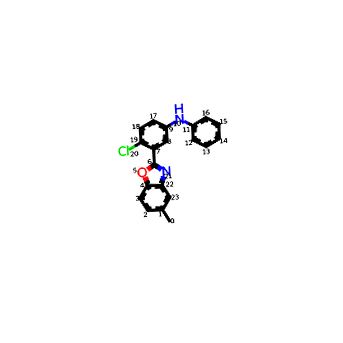 Cc1ccc2oc(-c3cc(Nc4ccccc4)ccc3Cl)nc2c1